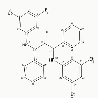 CCc1cc(CC)cc(PC(c2ccccc2)C(C)C(Pc2cc(CC)cc(CC)c2)c2ccccc2)c1